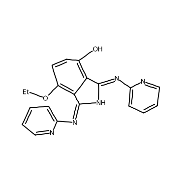 CCOc1ccc(O)c2c1/C(=N\c1ccccn1)N/C2=N\c1ccccn1